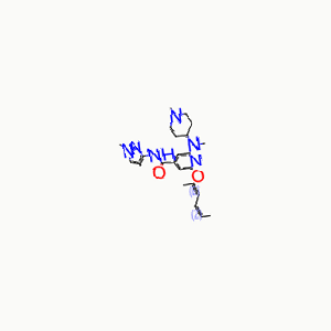 C/C=C\C=C(/C)Oc1cc(C(=O)Nc2ccn(C)n2)cc(N(C)C2CCN(C)CC2)n1